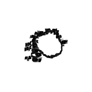 C[C@@H]1OC(=O)CC(O)CC(O)CCC(O)C(O)CC(O)CC2(O)C[C@H](O)C(C(=O)O)[C@H](CC(OC3C[C@@H](N)C(O)[C@@H](C)O3)/C=C/C=C/C=C/C=C/C=C/C=C/C=C/[C@H](C)C(O)[C@H]1C)O2